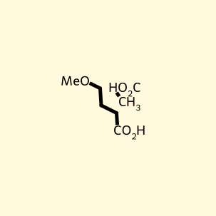 CC(=O)O.COCCCC(=O)O